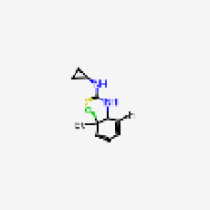 CCC1=CC=CC(Cl)(CC)C1NC(=S)NC1CC1